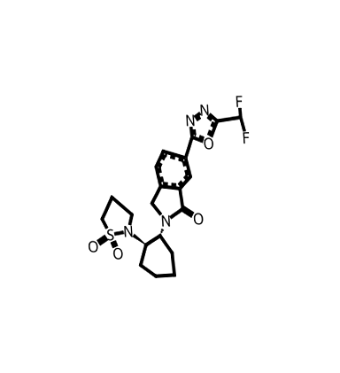 O=C1c2cc(-c3nnc(C(F)F)o3)ccc2CN1[C@@H]1CCCC[C@H]1N1CCCS1(=O)=O